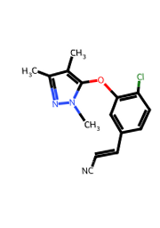 Cc1nn(C)c(Oc2cc(/C=C/C#N)ccc2Cl)c1C